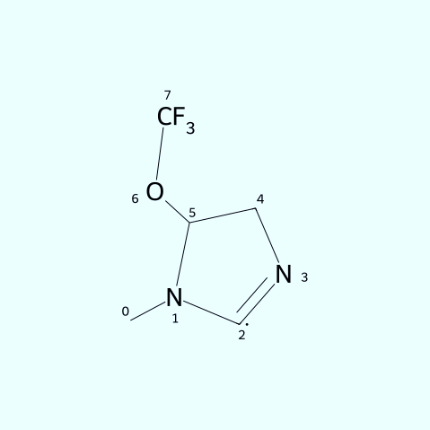 CN1[C]=NCC1OC(F)(F)F